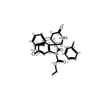 CCOC(=O)N1C(=O)[C@]2(c3ccc(Cl)cc31)[C@@H](c1ccccc1C)NC(=O)C[C@H]2c1cccc(Cl)c1